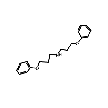 c1ccc(OCCCNCCCOc2ccccc2)cc1